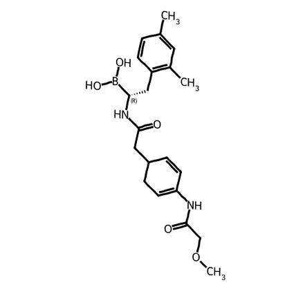 COCC(=O)NC1=CCC(CC(=O)N[C@@H](Cc2ccc(C)cc2C)B(O)O)C=C1